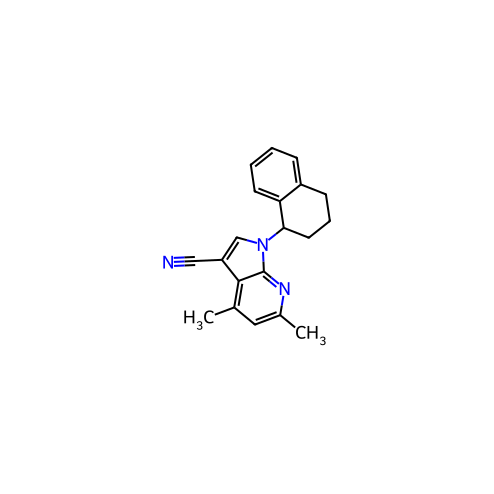 Cc1cc(C)c2c(C#N)cn(C3CCCc4ccccc43)c2n1